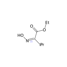 CCOC(=O)/C(=N\O)C(C)C